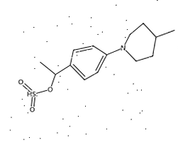 CC1CCN(c2ccc(C(C)O[SH](=O)=O)cc2)CC1